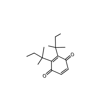 CCC(C)(C)C1=C(C(C)(C)CC)C(=O)C=CC1=O